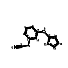 N#CCc1cccc(Oc2cccs2)c1